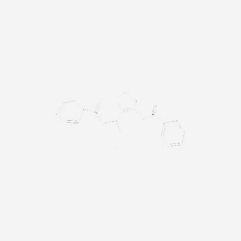 CC(OC(=O)c1ccccc1)c1scc[n+]1CC(=O)c1ccccc1.[Br-]